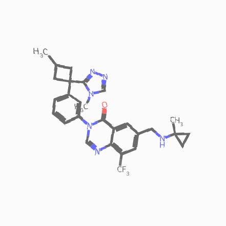 CC1CC(c2cccc(-n3cnc4c(C(F)(F)F)cc(CNC5(C)CC5)cc4c3=O)c2)(c2nncn2C)C1